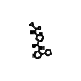 O=C(Nc1cnccc1C1CCCC1)c1ccnc(NC(=O)C2CC2)c1